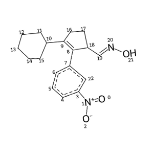 O=[N+]([O-])c1cccc(C2=C(C3CCCCC3)CCC2C=NO)c1